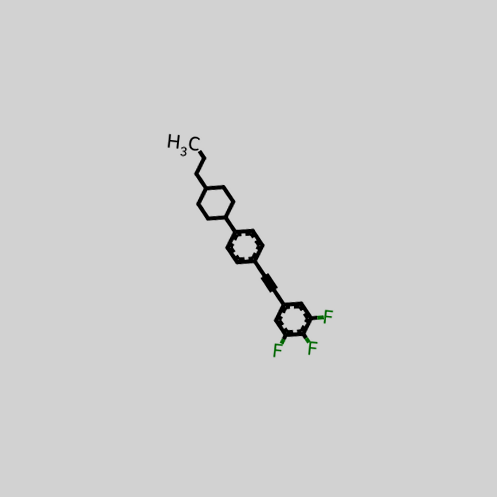 CCCC1CCC(c2ccc(C#Cc3cc(F)c(F)c(F)c3)cc2)CC1